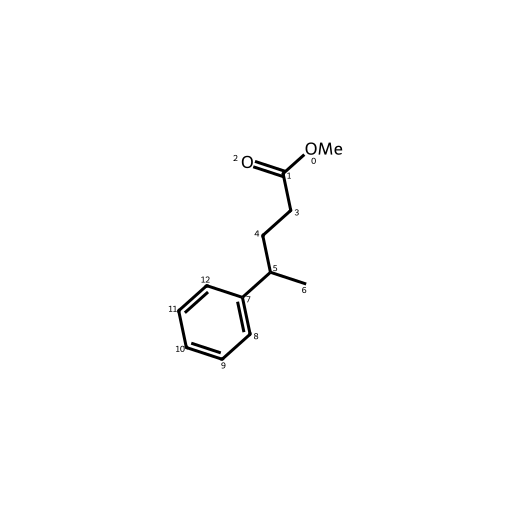 COC(=O)CCC(C)c1ccccc1